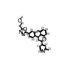 COCCc1nnc(-c2ccc(C(CC(=O)c3ccnc(C)c3)c3ccccc3C)cc2)o1